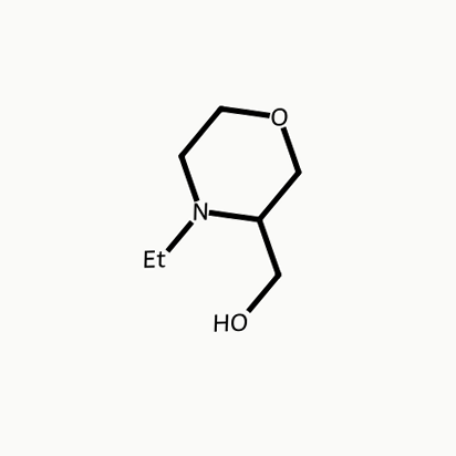 CCN1CCOCC1CO